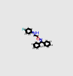 Fc1ccc(NCCON=C(c2ccccc2)c2ccccc2)cc1